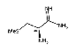 CSC[C@H](N)C(=N)N